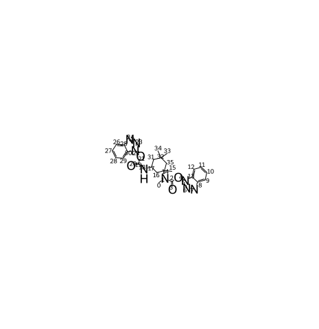 CN(C(=O)On1nnc2ccccc21)C1(C)CC(NC(=O)On2nnc3ccccc32)CC(C)(C)C1